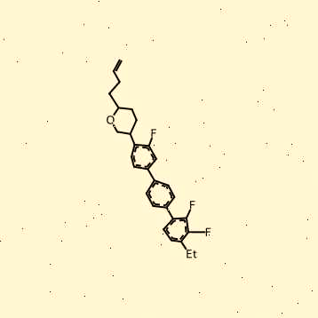 C=CCCC1CCC(c2ccc(-c3ccc(-c4ccc(CC)c(F)c4F)cc3)cc2F)CO1